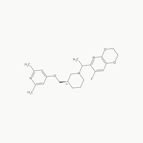 Cc1cc(OC[C@@H]2CCCN(C(C)c3nc4c(cc3F)OCCO4)C2)cc(C)n1